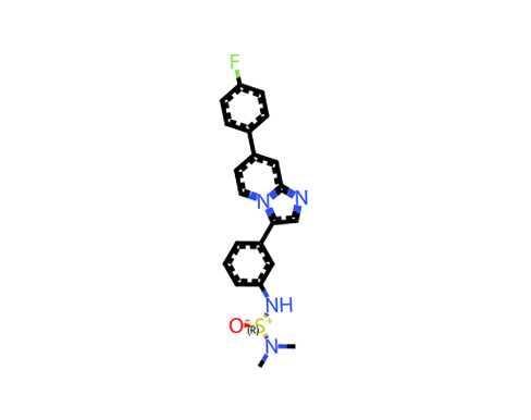 CN(C)[S@@+]([O-])Nc1cccc(-c2cnc3cc(-c4ccc(F)cc4)ccn23)c1